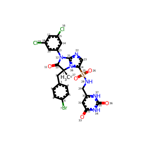 C[C@@]1(Cc2ccc(Br)cc2)C(=O)N(c2cc(Cl)cc(Cl)c2)c2ncc(S(=O)(=O)NCc3cc(=O)[nH]c(=O)[nH]3)n21